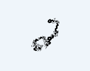 O=C(Cc1ccccc1)Nc1nnc(CCCCc2nnc(NC(=O)Cc3cccc(C4CCN(C(=O)C(F)(F)F)[C@@H]4C(=O)Nc4nnc(CCSCCc5nnc(NC(=O)[C@@H]6CCCN6C(O)C(F)(F)F)s5)s4)c3)s2)s1